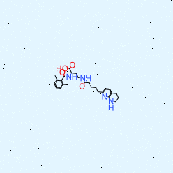 Cc1cccc(C)c1C(=O)NC(CCNC(=O)CCCCc1ccc2c(n1)NCCC2)C(=O)O